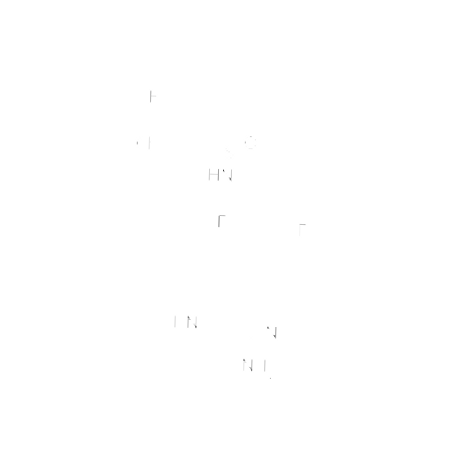 N=Cc1cc(C#Cc2c(F)ccc(N[S+]([O-])c3ccc(F)c(Cl)c3)c2F)cnc1N